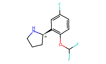 Fc1ccc(OC(F)F)c([C@H]2CCCN2)c1